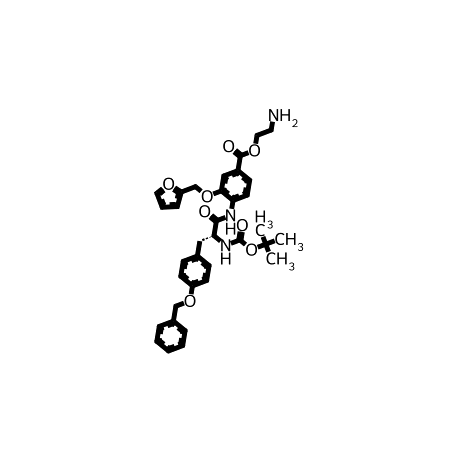 CC(C)(C)OC(=O)N[C@H](Cc1ccc(OCc2ccccc2)cc1)C(=O)Nc1ccc(C(=O)OCCN)cc1OCc1ccco1